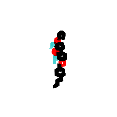 CCCCC1CCC(COc2ccc3c(oc4c(F)c(OC5CCCC5)ccc43)c2F)CC1